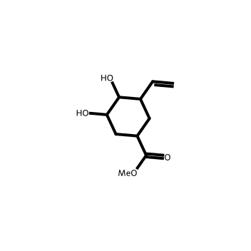 C=CC1CC(C(=O)OC)CC(O)C1O